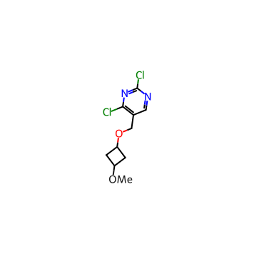 COC1CC(OCc2cnc(Cl)nc2Cl)C1